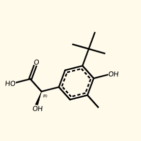 Cc1cc([C@@H](O)C(=O)O)cc(C(C)(C)C)c1O